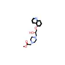 COC(=O)CN1CCN(C[C@@H](O)COc2cccc3ncccc23)CC1